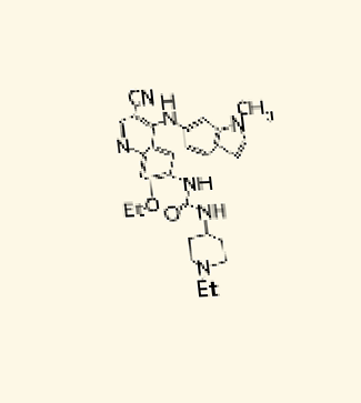 CCOc1cc2ncc(C#N)c(Nc3ccc4ccn(C)c4c3)c2cc1NC(=O)NC1CCN(CC)CC1